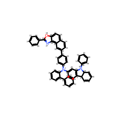 C1=CC2c3ccc(N(c4ccc(-c5ccc6ccc7oc(-c8ccccc8)nc7c6c5)cc4)c4ccccc4-c4ccccc4)cc3N(c3ccccc3)C2C=C1